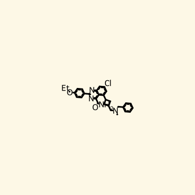 CCOc1ccc(-c2nc(C(N)=O)c3c(C4CC(CN(C)Cc5ccccc5)C4)cc(Cl)cc3n2)cc1